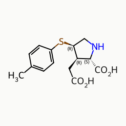 Cc1ccc(S[C@H]2CN[C@H](C(=O)O)[C@H]2CC(=O)O)cc1